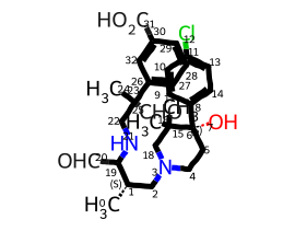 C[C@@H](CN1CC[C@](O)(c2ccc(Cl)cc2)C(C)(C)C1)C(C=O)NCC(C)(C=O)c1cccc(C(=O)O)c1